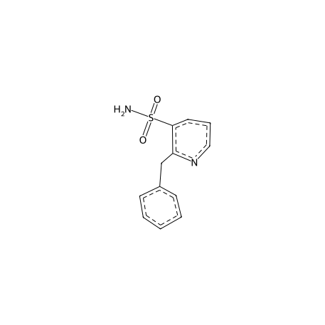 NS(=O)(=O)c1cccnc1Cc1ccccc1